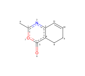 Cc1nc2c(c(=O)o1)CCC=C2